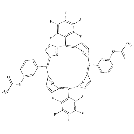 CC(=O)Oc1cccc(C2=C3C=CC(=N3)C(c3c(F)c(F)c(F)c(F)c3F)=C3C=CC(=N3)C(c3cccc(OC(C)=O)c3)=C3C=CC(=N3)C(c3c(F)c(F)c(F)c(F)c3F)=C3C=CC2=N3)c1